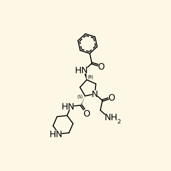 NCC(=O)N1C[C@H](NC(=O)c2ccccc2)C[C@H]1C(=O)NC1CCNCC1